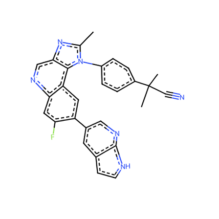 Cc1nc2cnc3cc(F)c(-c4cnc5[nH]ccc5c4)cc3c2n1-c1ccc(C(C)(C)C#N)cc1